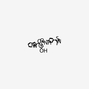 Cc1ncsc1-c1ccc(CNC(=O)[C@@H]2C[C@@H](O)CN2C(=O)c2cc3ccccn3n2)cc1